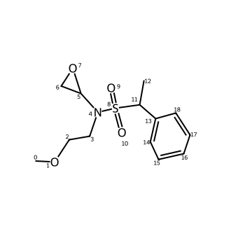 COCCN(C1CO1)S(=O)(=O)C(C)c1ccccc1